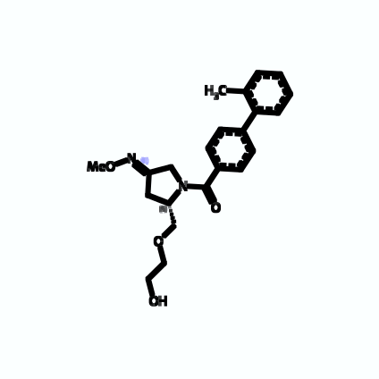 CO/N=C1\C[C@@H](COCCO)N(C(=O)c2ccc(-c3ccccc3C)cc2)C1